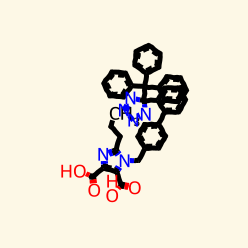 CCCc1nc(C(=O)O)c(C(=O)O)n1Cc1ccc(-c2ccccc2C2(C(c3ccccc3)(c3ccccc3)c3ccccc3)N=NN=N2)cc1